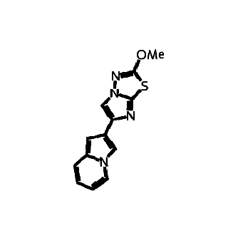 COc1nn2cc(-c3cc4ccccn4c3)nc2s1